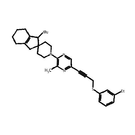 CCc1cccc(SCC#Cc2cnc(N3CCC4(CC3)CC3=C(CCCC3)C4C(C)(C)C)c(C)n2)c1